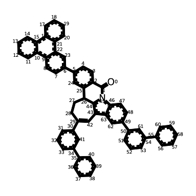 O=C1c2ccc(-c3ccc4c5ccccc5c5ccccc5c4c3)cc2C2CCC(c3cccc(-c4ccccc4)c3)=Cc3c2n1c1ccc(-c2cccc(-c4ccccc4)c2)cc31